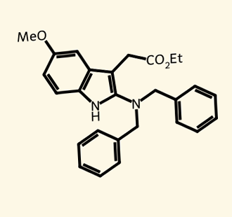 CCOC(=O)Cc1c(N(Cc2ccccc2)Cc2ccccc2)[nH]c2ccc(OC)cc12